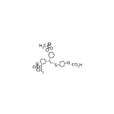 CS(=O)(=O)Oc1cccc(C(=CCSc2ccc(OCC(=O)O)cc2)c2cccc(OS(C)(=O)=O)c2)c1